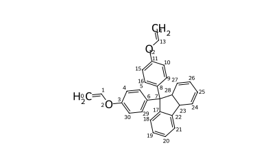 C=COc1ccc(C2(c3ccc(OC=C)cc3)c3ccccc3C3C=CC=CC32)cc1